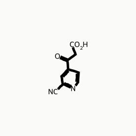 N#Cc1cc(C(=O)CC(=O)O)ccn1